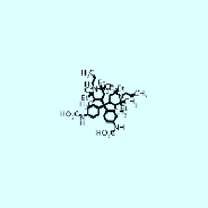 C=CCN1C(C)(CC)CC(C(C2CCC(NC(=O)O)CC2)(C2CCC(NC(=O)O)CC2)C2CC(C)(CC)N(CC=C)C(C)(CC)C2C)C(C)C1(C)CC